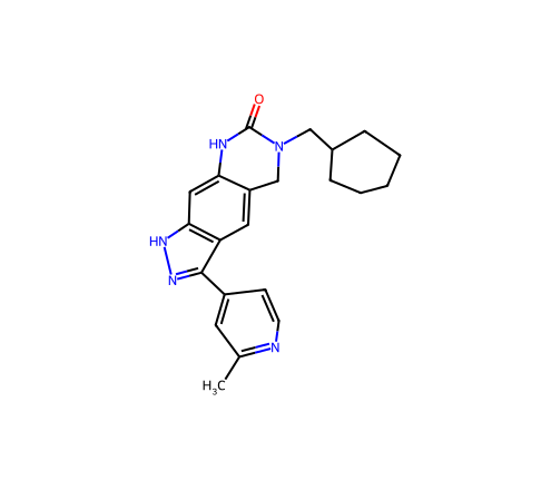 Cc1cc(-c2n[nH]c3cc4c(cc23)CN(CC2CCCCC2)C(=O)N4)ccn1